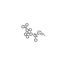 C=C/C=C(\C=C)c1nc(-c2ccccc2)cc(-c2cc(C3=CCCC=C3)c(-n3c4ccccc4c4cc(-n5c6ccccc6c6ccccc65)ccc43)c(-c3ccccc3)c2)n1